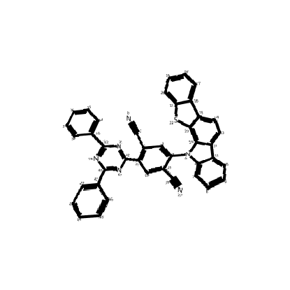 N#Cc1cc(-n2c3ccccc3c3ccc4c5ccccc5sc4c32)c(C#N)cc1-c1nc(-c2ccccc2)nc(-c2ccccc2)n1